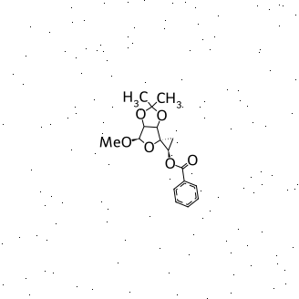 CO[C@@H]1O[C@@]2(C[C@H]2OC(=O)c2ccccc2)C2OC(C)(C)OC21